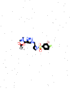 CN(C)C(OC(=O)C(F)(F)F)c1cn(CC2CCN2S(=O)(=O)c2ccc(F)c(Br)c2)nn1